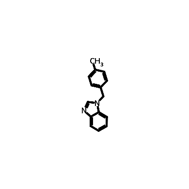 Cc1ccc(Cn2cnc3ccccc32)cc1